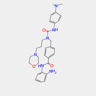 CN(C)c1ccc(NC(=O)N(CCCN2CCOCC2)Cc2ccc(C(=O)Nc3ccccc3N)cc2)cc1